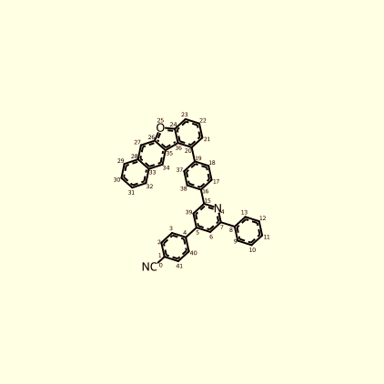 N#Cc1ccc(-c2cc(-c3ccccc3)nc(-c3ccc(-c4cccc5oc6cc7ccccc7cc6c45)cc3)c2)cc1